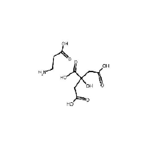 NCCC(=O)O.O=C(O)CC(O)(CC(=O)O)C(=O)O